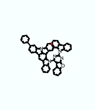 c1ccc(-c2ccc3c4cc5c6ccccc6n(-c6nc(-n7c8ccccc8c8ccccc87)nc7oc8ccccc8c67)c5c5c6ccccc6n(c3c2)c45)cc1